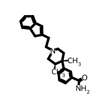 C[C@H]1CN(CCC2=Cc3ccccc3C2)CC[C@]1(C)c1cccc(C(N)=O)c1